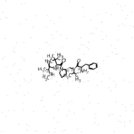 CN[C@@H](C)C(=O)N[C@H](C(=O)N1CCC[C@H]1CN(C(=O)[C@H](N)Cc1ccccc1)C(C)C)C(C)(C)C